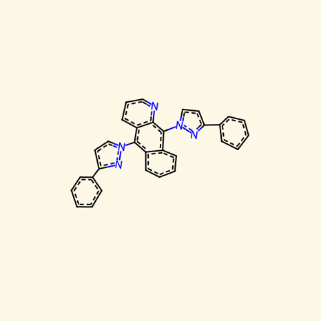 c1ccc(-c2ccn(-c3c4ccccc4c(-n4ccc(-c5ccccc5)n4)c4ncccc34)n2)cc1